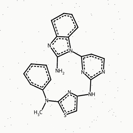 CN(c1ccccc1)c1nc(Nc2nccc(-n3c(N)nc4ccccc43)n2)cs1